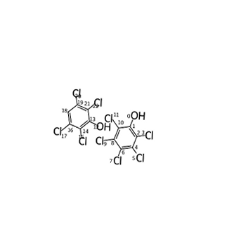 Oc1c(Cl)c(Cl)c(Cl)c(Cl)c1Cl.Oc1c(Cl)c(Cl)cc(Cl)c1Cl